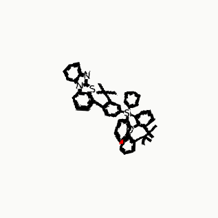 CC(C)(C)c1cc([Si](c2ccccc2)(c2ccccc2)c2cccc3c2Oc2ccccc2C(C)(C)C3(C)C)ccc1-c1cccc2c1sc1nc3ccccc3n12